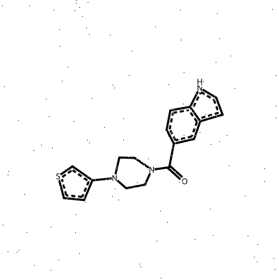 O=C(c1ccc2[nH]ccc2c1)N1CCN(c2ccsc2)CC1